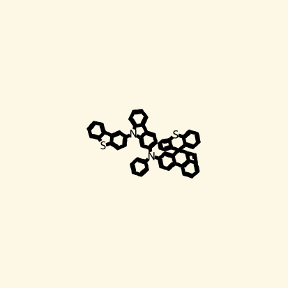 c1ccc(N(c2ccc3c(c2)C2(c4ccccc4Sc4ccccc42)c2cccc4cccc-3c24)c2ccc3c4ccccc4n(-c4ccc5sc6ccccc6c5c4)c3c2)cc1